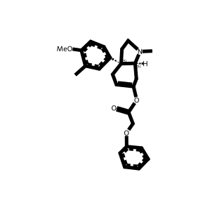 COc1ccc([C@@]23CC=C(OC(=O)COc4ccccc4)C[C@@H]2N(C)CC3)cc1C